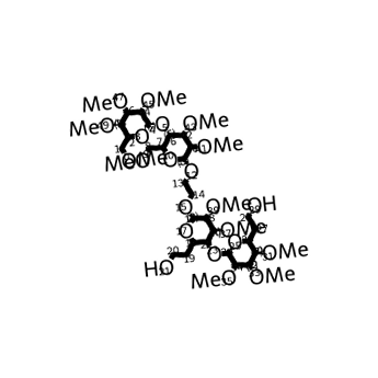 COCC1O[C@@H](O[C@H]2C(COC)O[C@H](OCCO[C@@H]3OC(CCO)C(OC4OC(CCO)[C@@H](OC)[C@@H](OC)C4OC)[C@@H](OC)C3OC)C(OC)C2OC)C(OC)C(OC)[C@H]1OC